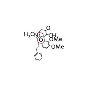 COc1ccc2c(c1OC)[C@]13CCN(C)C(C2)[C@]1(OCCCc1ccccc1)CCC(=O)[C@H]3C